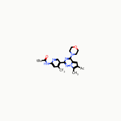 CC(=O)c1cc2c(N3CCOCC3)nc(-c3cnc(NC(=O)C(C)(C)C)cc3C(F)(F)F)nn2c1C